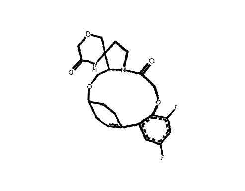 O=C1COCC2(CCN3C(=O)COc4c(F)cc(F)cc4C4=CCC(CC4)OCC32)N1